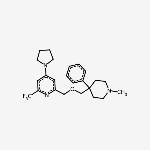 CN1CCC(COCc2cc(N3CCCC3)cc(C(F)(F)F)n2)(c2ccccc2)CC1